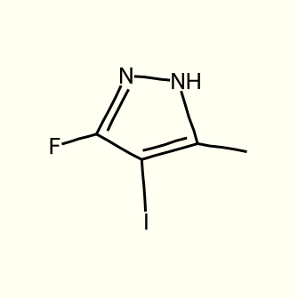 Cc1[nH]nc(F)c1I